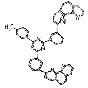 Cc1ccc(-c2nc(-c3cccc(-c4ccc5ccc6cccnc6c5n4)c3)nc(-c3cccc(-c4ccc5ccc6cccnc6c5n4)c3)n2)cc1